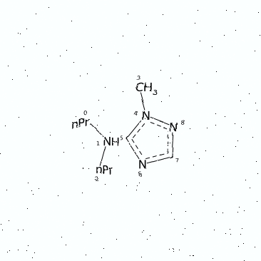 CCCNCCC.Cn1cncn1